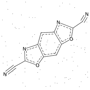 N#Cc1nc2cc3nc(C#N)oc3cc2o1